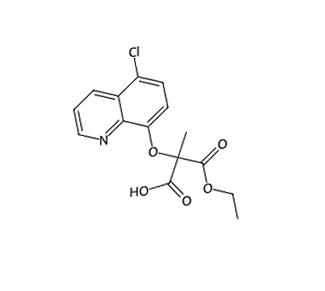 CCOC(=O)C(C)(Oc1ccc(Cl)c2cccnc12)C(=O)O